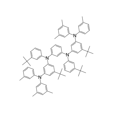 Cc1cccc(N(c2cc(C)cc(C)c2)c2cc(N(c3cccc(N(c4cccc(C(C)(C)C)c4)c4cc(N(c5cccc(C)c5)c5cc(C)cc(C)c5)cc(C(C)(C)C)c4)c3)c3cccc(C(C)(C)C)c3)cc(C(C)(C)C)c2)c1